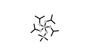 CC(C)[O][Ta]([O]C(C)C)([O]C(C)C)([O]C(C)C)[O][Si](C)(C)C